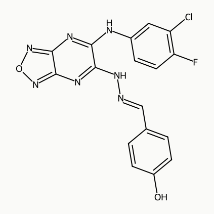 Oc1ccc(C=NNc2nc3nonc3nc2Nc2ccc(F)c(Cl)c2)cc1